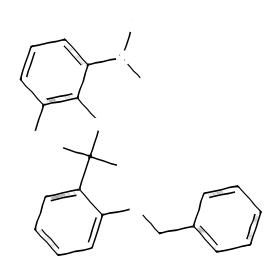 CCN(CC)c1cccc(C)c1PC(C)(C)c1ccccc1OCc1ccccc1